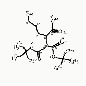 CC(C)(C)OC(=O)N(C(=O)OC(C)(C)C)C(CCCO)C(=O)O